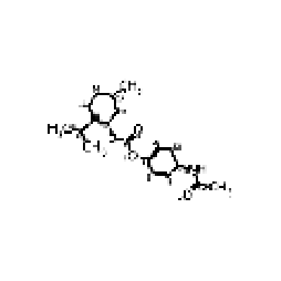 CC(=O)NC1C=CC(OC(=O)OC2CC(C)CCC2C(C)C)=CC1